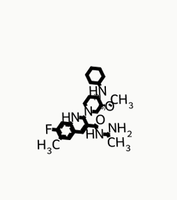 CO[C@H]1CN(C2Nc3cc(F)c(C)cc3C=C2C(=O)NC(C)N)CC[C@H]1NC1CCCCC1